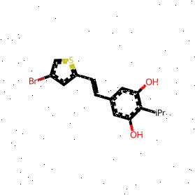 CC(C)c1c(O)cc(C=Cc2cc(Br)cs2)cc1O